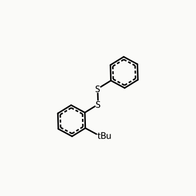 CC(C)(C)c1ccccc1SSc1ccccc1